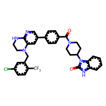 O=C(c1ccc(-c2cnc3c(c2)N(Cc2cc(Cl)ccc2C(F)(F)F)CCN3)cc1)N1CCC(n2c(=O)[nH]c3ccccc32)CC1